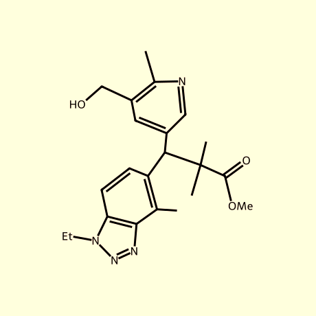 CCn1nnc2c(C)c(C(c3cnc(C)c(CO)c3)C(C)(C)C(=O)OC)ccc21